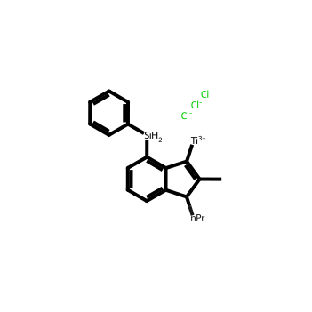 CCCC1C(C)=[C]([Ti+3])c2c([SiH2]c3ccccc3)cccc21.[Cl-].[Cl-].[Cl-]